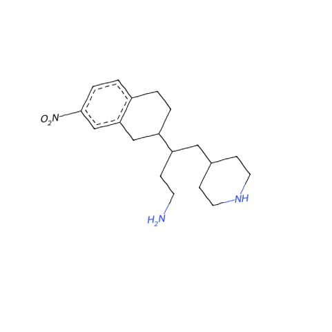 NCCC(CC1CCNCC1)C1CCc2ccc([N+](=O)[O-])cc2C1